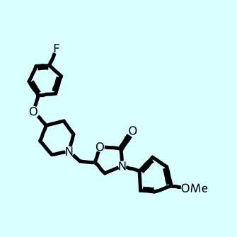 COc1ccc(N2CC(CN3CCC(Oc4ccc(F)cc4)CC3)OC2=O)cc1